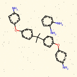 CC(C)(c1ccc(Oc2ccc(N)cc2)cc1)c1ccc(Oc2ccc(N)cc2)cc1.Nc1ccccc1N